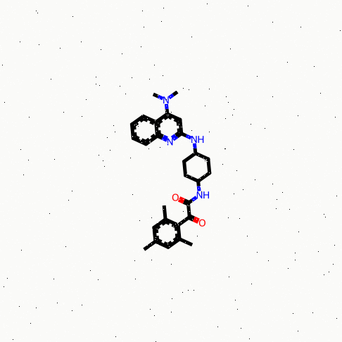 Cc1cc(C)c(C(=O)C(=O)NC2CCC(Nc3cc(N(C)C)c4ccccc4n3)CC2)c(C)c1